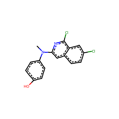 CN(c1ccc(O)cc1)c1cc2ccc(Cl)cc2c(Cl)n1